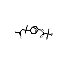 CC(=O)CC(C)(C)C1CC2CC1CC2OC(=O)C(F)(F)F